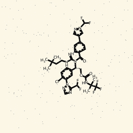 CC(C)(C)CCNC(=N)N(C(=O)c1ccc(-c2cnn(C(F)F)c2)cc1)[C@H](COC(=O)NC(C)(C)C(F)(F)F)c1ccc(Cl)c(-n2ncnc2C(F)F)c1